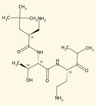 CC(C)C(=O)[C@H](CCN)NC(=O)[C@@H](NC(=O)[C@H](CN)CC(C)(C)C)[C@H](C)O